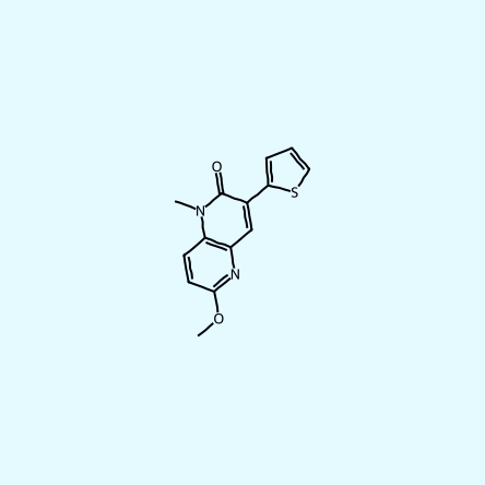 COc1ccc2c(cc(-c3cccs3)c(=O)n2C)n1